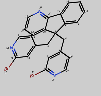 Brc1cc(CC2(Cc3ccnc(Br)c3)c3ccccc3-c3ncccc32)ccn1